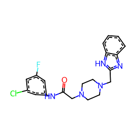 O=C(CN1CCN(Cc2nc3ccccc3[nH]2)CC1)Nc1cc(F)cc(Cl)c1